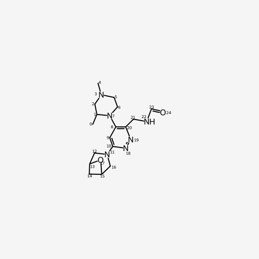 CC1CN(C)CCN1c1cc(N2CC3CC(C2)O3)nnc1CNC=O